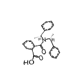 C[C@H](c1ccccc1)N(C(=O)c1ccccc1C(=O)O)[C@H](C)c1ccccc1